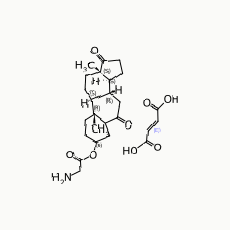 C[C@]12CC[C@H](OC(=O)CN)CC1C(=O)C[C@@H]1[C@@H]2CC[C@]2(C)C(=O)CC[C@@H]12.O=C(O)/C=C/C(=O)O